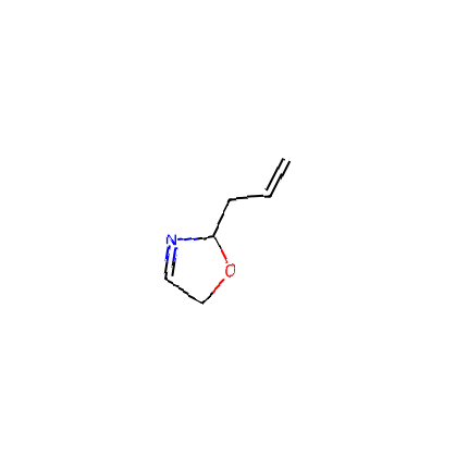 C=CCC1N=CCO1